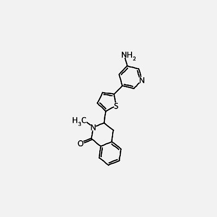 CN1C(=O)c2ccccc2CC1c1ccc(-c2cncc(N)c2)s1